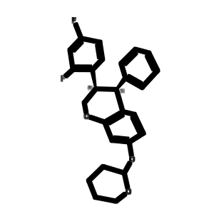 Fc1ccc([C@@H]2COc3cc(OC4CCCCO4)ccc3[C@@H]2c2ccccc2)c(F)c1